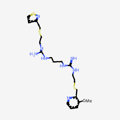 COc1cccnc1CSCCNC(=N)NCCCNC(N)=NCCSCc1ccsn1